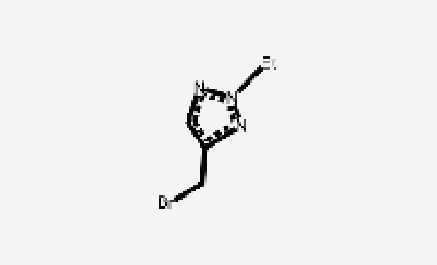 CCn1ncc(CBr)n1